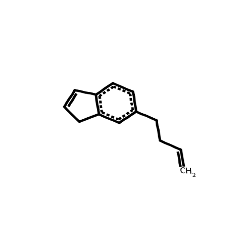 C=CCCc1ccc2c(c1)CC=C2